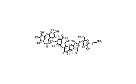 NCCO[C@H]1OC(CO)[C@H](O[C@H]2OC(CO)[C@@H](O[C@@H]3OC(CO)[C@@H](O[C@@H]4OC(C(=O)O)[C@@H](O[C@H]5OC(CO)[C@H](O[C@H]6OC(CO)[C@@H](O)C(O)C6O)C(O)C5O)C(O)C4O)C(O)[C@@H]3O)C(O)C2O)C(O)C1O